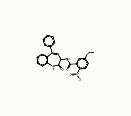 COc1ccc([N+](=O)[O-])c(C(=O)NC2N=C(c3ccccc3)c3ccccc3NC2=O)c1